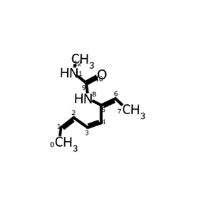 C\C=C/C=C\C(=C/C)NC(=O)NC